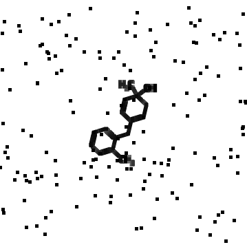 Cc1ccccc1CC1=CCC(C)(O)C=C1